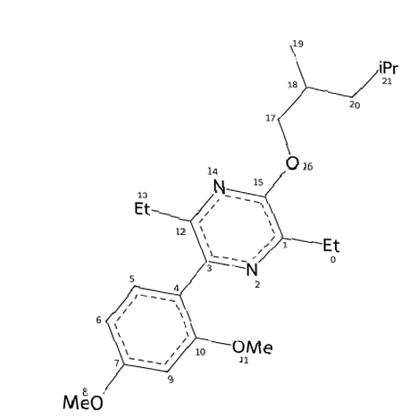 CCc1nc(-c2ccc(OC)cc2OC)c(CC)nc1OCC(C)CC(C)C